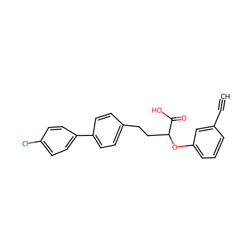 C#Cc1cccc(OC(CCc2ccc(-c3ccc(Cl)cc3)cc2)C(=O)O)c1